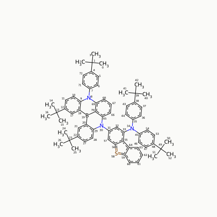 CC(C)(C)c1ccc(N2c3ccc(C(C)(C)C)cc3B3c4cc(C(C)(C)C)ccc4N(c4cc(N(c5ccc(C(C)(C)C)cc5)c5ccc(C(C)(C)C)cc5)c5c(c4)sc4ccccc45)c4cccc2c43)cc1